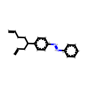 C=CCCC(CC=C)c1ccc(N=Nc2ccccc2)cc1